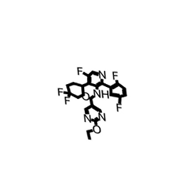 CCOc1ncc(C(=O)Nc2c(-c3cc(F)ccc3F)ncc(F)c2C2CCC(F)(F)CC2)cn1